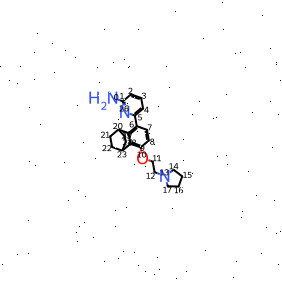 Nc1cccc(-c2ccc(OCCN3CCCC3)c3c2C2CCC3CC2)n1